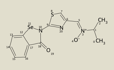 CC(C)[N+]([O-])=Cc1csc(-n2[se]c3ccccc3c2=O)n1